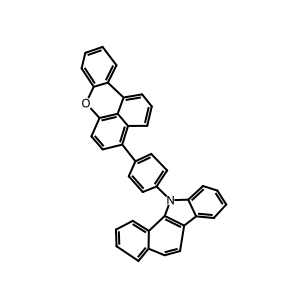 c1ccc2c(c1)Oc1ccc(-c3ccc(-n4c5ccccc5c5ccc6ccccc6c54)cc3)c3cccc-2c13